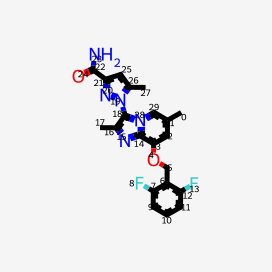 Cc1cc(OCc2c(F)cccc2F)c2nc(C)c(-n3nc(C(N)=O)cc3C)n2c1